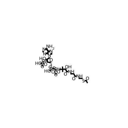 CC(=O)SCCNC(=O)CCNC(=O)[C@H](O)C(C)(C)COP(=O)(O)OP(=O)(O)OC[C@H]1O[C@@H](n2cnc3c(N)ncnc32)C(O)C1OP(=O)(O)O